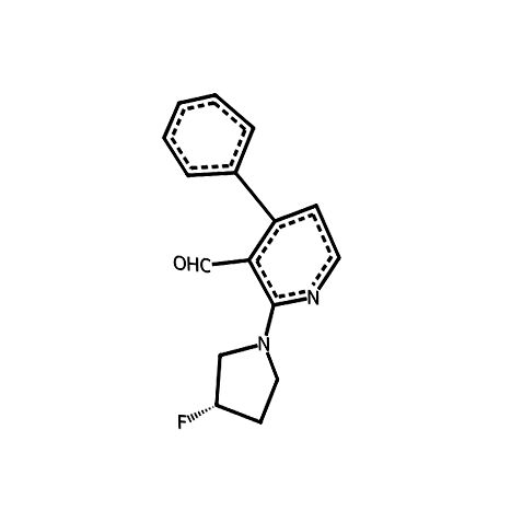 O=Cc1c(-c2ccccc2)ccnc1N1CC[C@H](F)C1